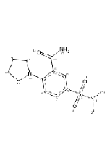 CN(C)S(=O)(=O)c1ccc(N2CCCC2)c(C(N)=O)c1